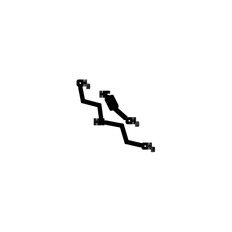 C#CC.CCCNCCC